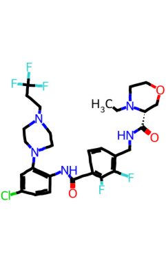 CCN1CCOC[C@@H]1C(=O)NCc1ccc(C(=O)Nc2ccc(Cl)cc2N2CCN(CCC(F)(F)F)CC2)c(F)c1F